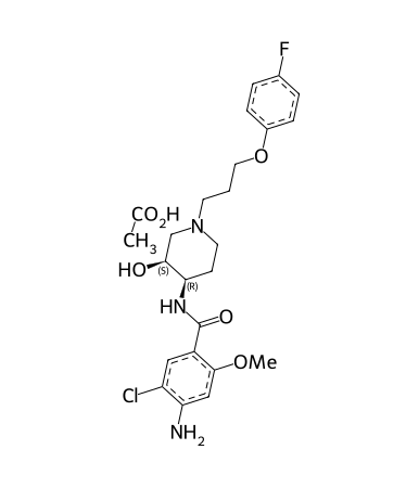 CC(=O)O.COc1cc(N)c(Cl)cc1C(=O)N[C@@H]1CCN(CCCOc2ccc(F)cc2)C[C@@H]1O